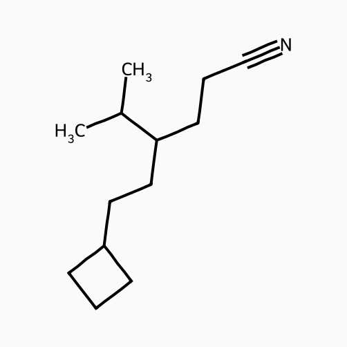 CC(C)C(CCC#N)CCC1CCC1